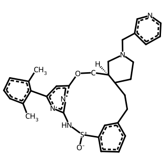 Cc1cccc(C)c1-c1cc2nc(n1)N[S+]([O-])c1cccc(c1)CCC1CCN(Cc3cccnc3)C[C@@H]1CO2